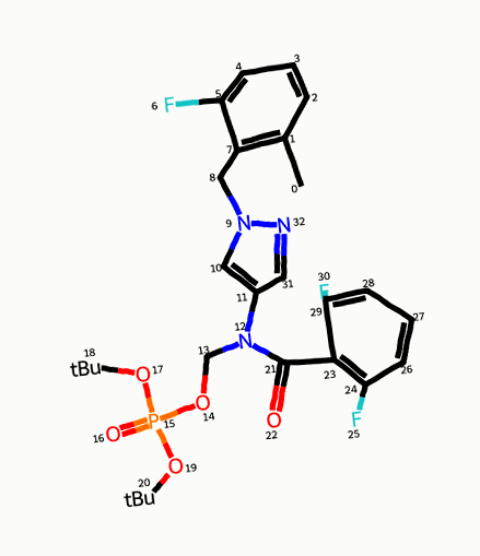 Cc1cccc(F)c1Cn1cc(N(COP(=O)(OC(C)(C)C)OC(C)(C)C)C(=O)c2c(F)cccc2F)cn1